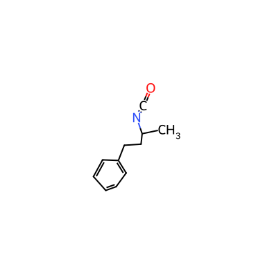 CC(CCc1ccccc1)N=C=O